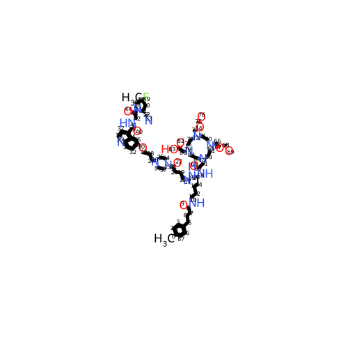 Cc1ccc(CCCC(=O)NCCCC[C@@H](N/N=C\CCC(=O)N2CCN(CCCOc3ccc4nccc(C(=O)NCC(=O)N5CC(C)(F)C[C@@H]5C#N)c4c3)CC2)NC(=O)CN2CCN(COC=O)CCN(COC=O)CCN(CC(=O)O)CC2)cc1